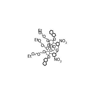 CCOCCOCCO[C@H]1CC(Oc2ccc3ccccc3c2)C(c2cc(COCc3cc(C4C[C@@H](OCCOCCOCC)[C@@H](OCCOCCOCC)CC4Oc4ccc5ccccc5c4)cc([N+](=O)[O-])c3)cc([N+](=O)[O-])c2)C[C@H]1OCCOCCOCC